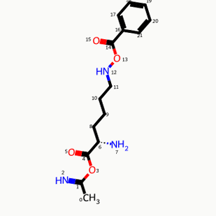 CC(=N)OC(=O)[C@@H](N)CCCCNOC(=O)c1ccccc1